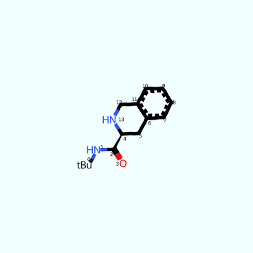 CC(C)(C)NC(=O)[C@@H]1Cc2ccccc2CN1